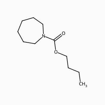 CCCCOC(=O)N1CCCCCC1